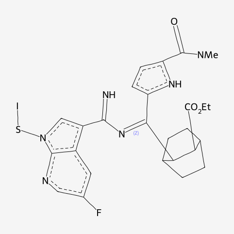 CCOC(=O)C1C2CCC(CC2)C1/C(=N/C(=N)c1cn(SI)c2ncc(F)cc12)c1ccc(C(=O)NC)[nH]1